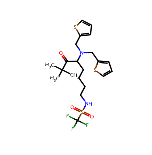 CC(C)(C)C(=O)[C](CCCCNS(=O)(=O)C(F)(F)F)N(Cc1cccs1)Cc1cccs1